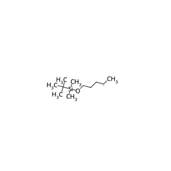 C[CH]CCCO[Si](C)(C)C(C)(C)C